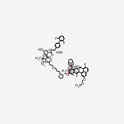 C#Cc1c(F)ccc2cc(OCOC)cc(-c3ncc4c(N5CC6CCC(C5)N6C(=O)OC(C)(C)C)nc(OC[C@@H]5CCCN5CCCOCCC(=O)N[C@H](C(=O)N5C[C@H](O)C[C@H]5C(=O)N[C@@H](CO)c5ccc(-c6c(F)cccc6F)cc5)C(C)(C)C)nc4c3F)c12